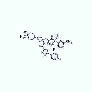 Cc1ccnc(C(C)(C)NC(=O)CC2(NC(=O)c3cc(-c4ccc(F)cc4F)on3)CN(C3CCC(C)(O)CC3)C2)n1